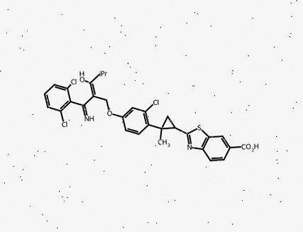 CC(C)/C(O)=C(\COc1ccc(C2(C)CC2c2nc3ccc(C(=O)O)cc3s2)c(Cl)c1)C(=N)c1c(Cl)cccc1Cl